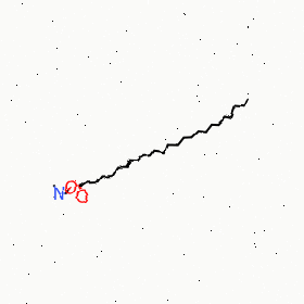 CCCCCCCCCCCCCCCCCCC=CCCCCCC(=O)OCN(C)C